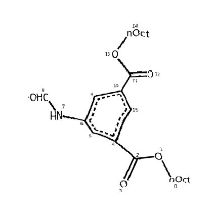 CCCCCCCCOC(=O)c1cc(N[C]=O)cc(C(=O)OCCCCCCCC)c1